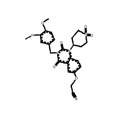 COc1ccc(Cn2c(=O)c3cc(OCC#N)ccc3n(C3CCS(=O)(=O)CC3)c2=O)cc1OC